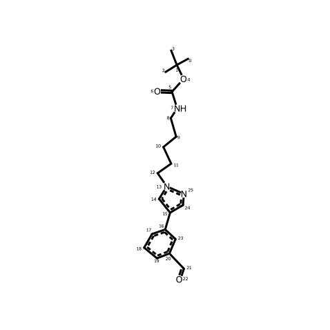 CC(C)(C)OC(=O)NCCCCCn1cc(-c2cccc(C=O)c2)cn1